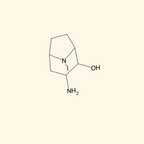 NC1CC2CCC(C1O)N2I